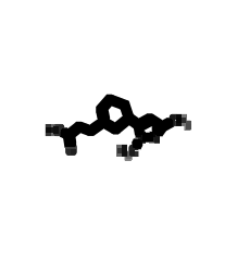 Cc1cc(C2CCC=C(CCC(=O)O)C2)n(C)n1